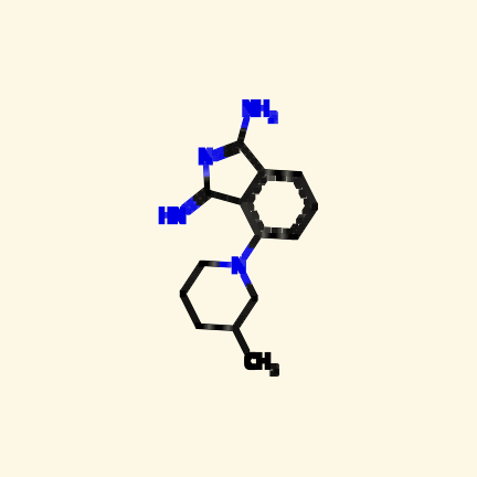 CC1CCCN(c2cccc3c2C(=N)N=C3N)C1